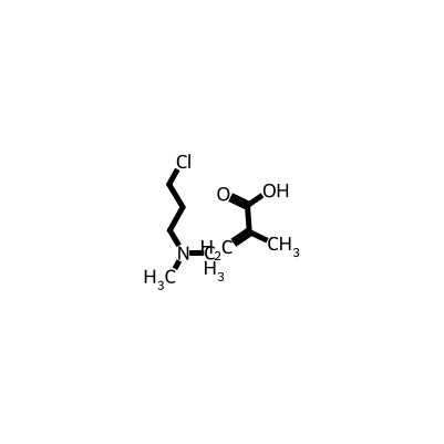 C=C(C)C(=O)O.CN(C)CCCCl